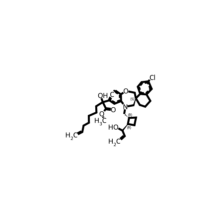 C=CCCCCCC(O)(C(=O)OC)c1ccc2c(c1)N(C[C@@H]1CC[C@H]1C(O)C=C)C[C@@]1(CCCc3cc(Cl)ccc31)CO2